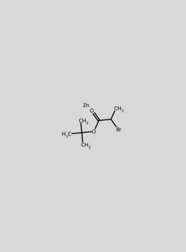 CC(Br)C(=O)OC(C)(C)C.[Zn]